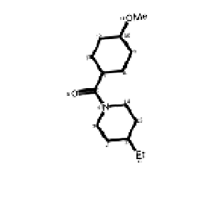 CCC1CCN(C(=O)C2CCC(OC)CC2)CC1